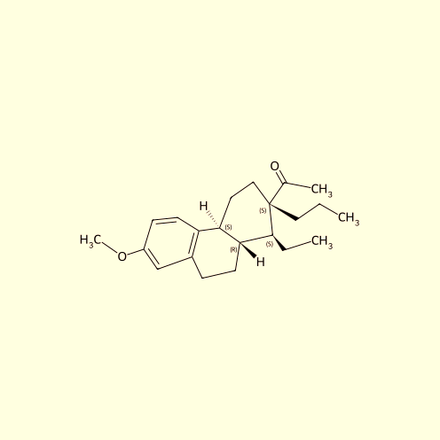 CCC[C@]1(C(C)=O)CC[C@@H]2c3ccc(OC)cc3CC[C@H]2[C@@H]1CC